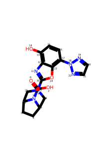 O=C(O)N1C2CCC1CN(c1nc3c(O)ccc(-n4nccn4)c3o1)C2